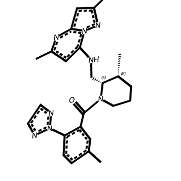 Cc1ccc(-n2nccn2)c(C(=O)N2CCC[C@@H](C)[C@H]2CNc2cc(C)nc3cc(C)nn23)c1